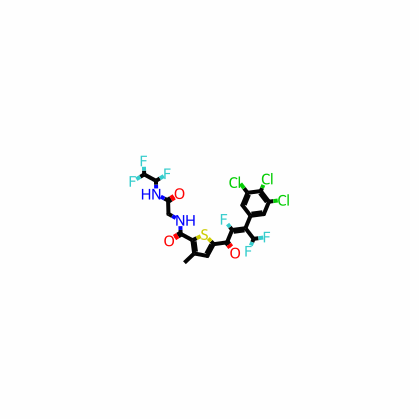 Cc1cc(C(=O)C(F)=C(c2cc(Cl)c(Cl)c(Cl)c2)C(F)F)sc1C(=O)NCC(=O)NC(F)C(F)F